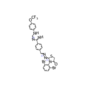 N=C(/N=C\Nc1ccc(OC(F)(F)F)cc1)c1ccc(/C=N/N=C2\SCC(=O)N2c2c(Br)cccc2Br)cc1